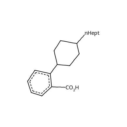 CCCCCCCC1CCC(c2ccccc2C(=O)O)CC1